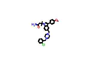 COc1ccc(-c2cn(C(C)(C)CC(N)=O)c3ccc(CN4CCN(Cc5ccccc5Cl)CC4)cc23)cc1